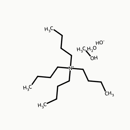 CCCC[N+](CCCC)(CCCC)CCCC.CO.O.[OH-]